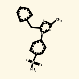 Cc1nc(Cc2ccccc2)n(-c2ccc(S(N)(=O)=O)cc2)n1